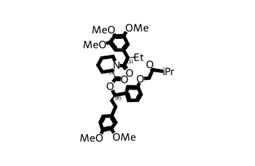 CC[C@H](C(=O)N1CCCC[C@H]1C(=O)O[C@H](CCc1ccc(OC)c(OC)c1)c1cccc(OCC(=O)C(C)C)c1)c1cc(OC)c(OC)c(OC)c1